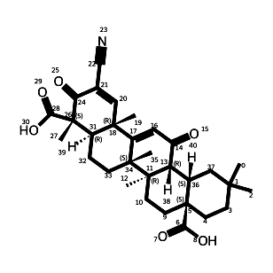 CC1(C)CC[C@]2(C(=O)O)CC[C@]3(C)[C@H](C(=O)C=C4[C@@]5(C)C=C(C#N)C(=O)[C@@](C)(C(=O)O)[C@@H]5CC[C@]43C)[C@@H]2C1